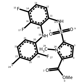 COC(=O)c1ccc(S(=O)(=O)Nc2ccc(F)c(F)c2Nc2ccc(I)cc2F)n1C